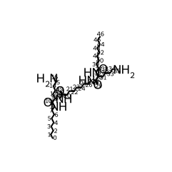 CCCCCCCCNC(=O)C(CCCCN)NC(=O)CCCCCCCNC(=O)C(CCCCN)NC(=O)CCCCCCCC